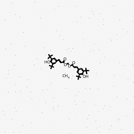 C.CC(C)(C)c1cc(/C=C/C(=O)OCOC(=O)/C=C/c2cc(C(C)(C)C)c(O)c(C(C)(C)C)c2)cc(C(C)(C)C)c1O